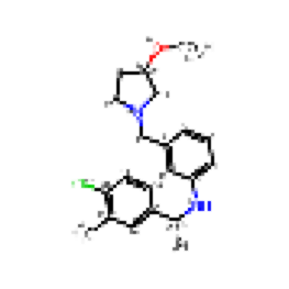 CC[C@@H](Nc1cccc(CN2CC[C@@H](OC(=O)O)C2)c1)c1ccc(Cl)c(C)c1